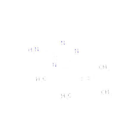 CC(C)=C(C)c1nnc(N)n1C